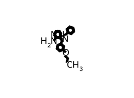 CCCCOc1cccc(-c2nc(-c3ccccc3)n3ccnc(N)c23)c1